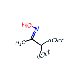 CCCCCCCCC(CCCCCCCC)/C(C)=N/O